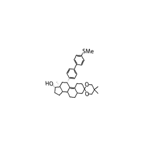 CSc1ccc(-c2ccc([C@H]3C[C@@]4(C)C(CC[C@@H]4O)C4CCC5CC6(CCC5=C43)OCC(C)(C)CO6)cc2)cc1